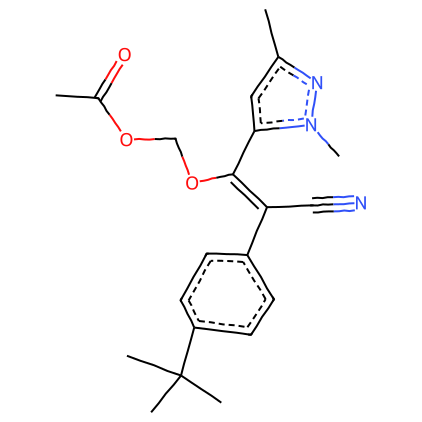 CC(=O)OCO/C(=C(/C#N)c1ccc(C(C)(C)C)cc1)c1cc(C)nn1C